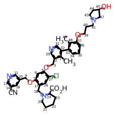 Cc1c(COc2cc(OCc3cncc(C#N)c3)c(CN3CCCCC3C(=O)O)cc2Cl)cncc1-c1cccc(OCCCN2CCC(O)C2)c1C